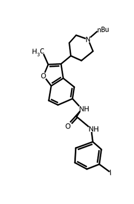 CCCCN1CCC(c2c(C)oc3ccc(NC(=O)Nc4cccc(I)c4)cc23)CC1